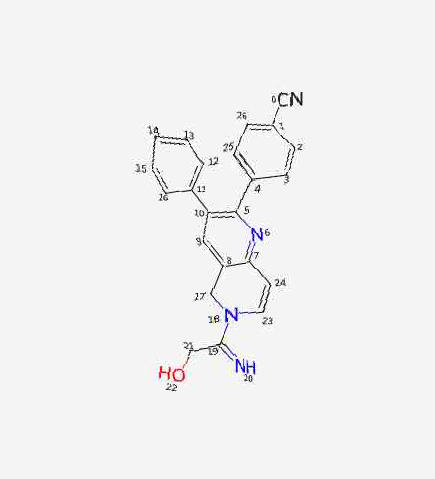 N#Cc1ccc(-c2nc3c(cc2-c2ccccc2)CN(C(=N)CO)C=C3)cc1